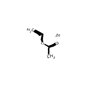 C=COC(C)=O.[Zn]